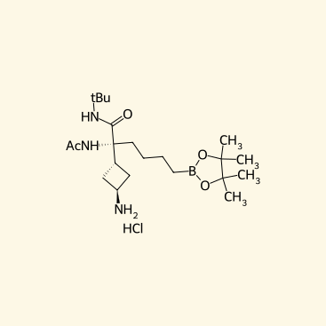 CC(=O)N[C@@](CCCCB1OC(C)(C)C(C)(C)O1)(C(=O)NC(C)(C)C)[C@H]1C[C@H](N)C1.Cl